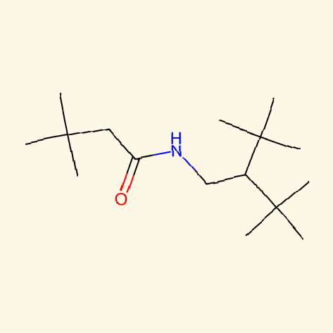 CC(C)(C)CC(=O)NCC(C(C)(C)C)C(C)(C)C